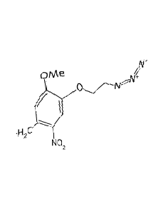 [CH2]c1cc(OC)c(OCCN=[N+]=[N-])cc1[N+](=O)[O-]